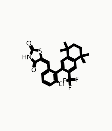 CC1(C)CCC(C)(C)c2cc(C(F)(F)F)c(-c3c(Cl)cccc3C=C3SC(=O)NC3=O)cc21